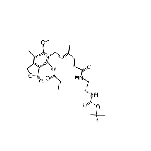 CCC(=O)Oc1c(C/C=C(\C)CCC(=O)NCCNC(=O)OC(C)(C)C)c(OC)c(C)c2c1C(=O)OC2